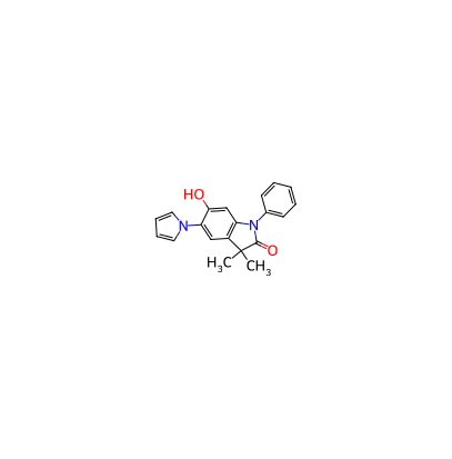 CC1(C)C(=O)N(c2ccccc2)c2cc(O)c(-n3cccc3)cc21